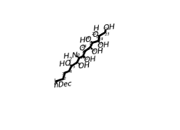 CCCCCCCCCCCCCC[C@@H](O)[C@@H](O)[C@@H](N)C(O)C(=O)[C@H](O)[C@@H](O)[C@H](O)[C@H](O)CO